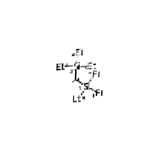 CC[Si]([C][Si](CC)(CC)CC)(CC)CC